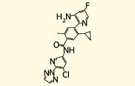 Cc1cc(-c2ncc(F)cc2N)c(C2CC2)cc1C(=O)Nc1cnc(-n2nccn2)c(Cl)c1